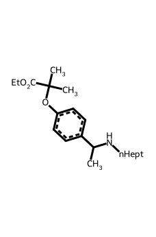 CCCCCCCNC(C)c1ccc(OC(C)(C)C(=O)OCC)cc1